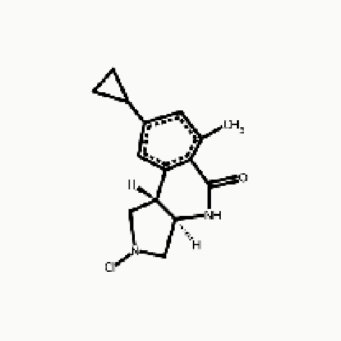 Cc1cc(C2CC2)cc2c1C(=O)N[C@H]1CN(Cl)C[C@H]21